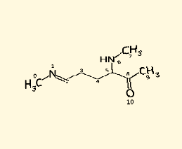 CN=CCCC(NC)C(C)=O